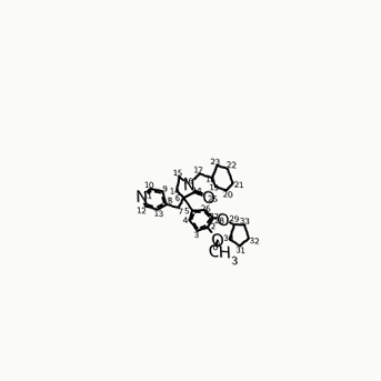 COc1ccc(C2(Cc3ccncc3)CCN(CC3CCCCC3)C2=O)cc1OC1CCCC1